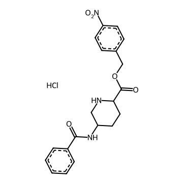 Cl.O=C(NC1CCC(C(=O)OCc2ccc([N+](=O)[O-])cc2)NC1)c1ccccc1